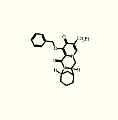 CCOC(=O)c1cn2c(c(OCc3ccccc3)c1=O)C(=O)N1[C@H]3CCCC(C3)[C@H]1C2